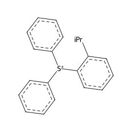 CC(C)c1ccccc1[S+](c1ccccc1)c1ccccc1